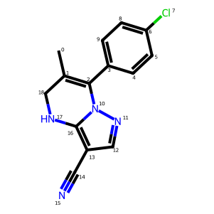 CC1=C(c2ccc(Cl)cc2)n2ncc(C#N)c2NC1